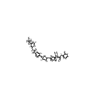 Cc1ccccc1CC(=O)Nc1nnc(C2CCN(c3ccc(NC(=O)Cc4cccc(OC(F)(F)F)c4)nn3)C2)s1